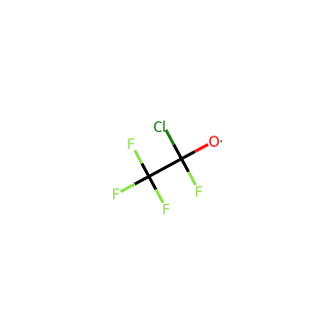 [O]C(F)(Cl)C(F)(F)F